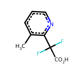 Cc1cccnc1C(F)(F)C(=O)O